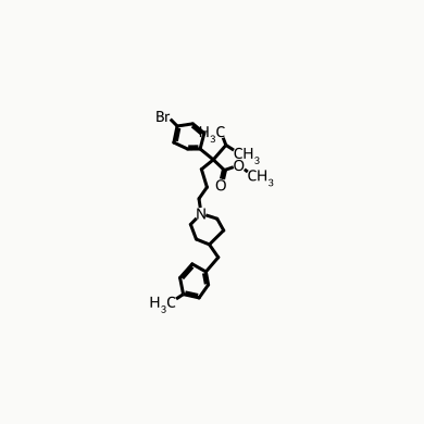 COC(=O)C(CCCN1CCC(Cc2ccc(C)cc2)CC1)(c1ccc(Br)cc1)C(C)C